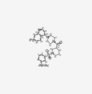 CC(=O)Nc1cccc(S(=O)(=O)N2CCCC(C(=O)N3CCN(c4ccnc5cc(F)ccc45)CC3)C2)c1